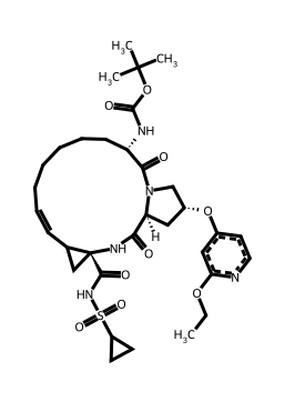 CCOc1cc(O[C@@H]2C[C@H]3C(=O)N[C@]4(C(=O)NS(=O)(=O)C5CC5)CC4/C=C\CCCCC[C@H](NC(=O)OC(C)(C)C)C(=O)N3C2)ccn1